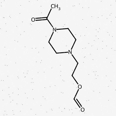 CC(=O)N1CCN(CCOC=O)CC1